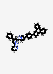 c1ccc(-c2cc(-c3ccccn3)nc(-c3ccc(-c4ccc(-c5ccc6c7ccccc7c7ccccc7c6c5)cc4)cn3)c2)cc1